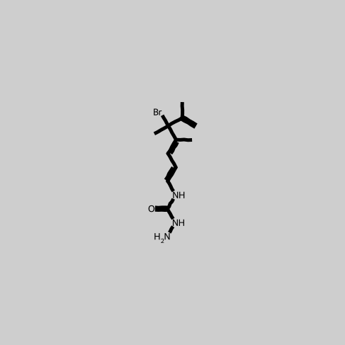 C=C(C)C(C)(Br)/C(C)=C/C=C/NC(=O)NN